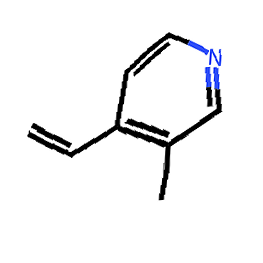 C=Cc1ccncc1C